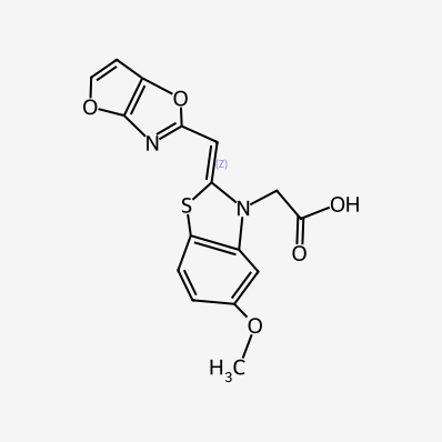 COc1ccc2c(c1)N(CC(=O)O)/C(=C/c1nc3occc3o1)S2